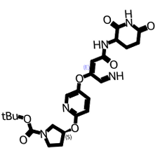 CC(C)(C)OC(=O)N1CC[C@H](Oc2ccc(O/C(C=N)=C/C(=O)NC3CCC(=O)NC3=O)cn2)C1